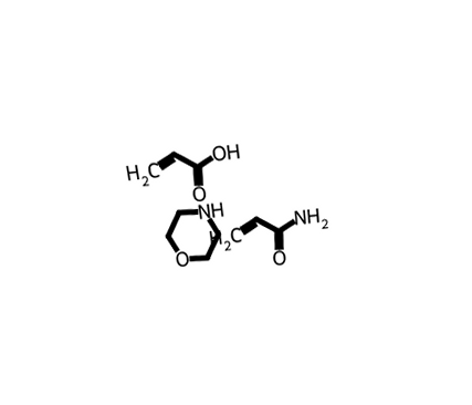 C1COCCN1.C=CC(=O)O.C=CC(N)=O